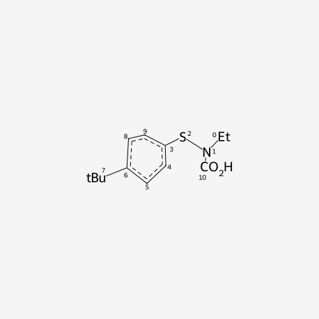 CCN(Sc1ccc(C(C)(C)C)cc1)C(=O)O